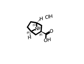 Cl.O=C(O)[C@H]1C[C@H]2CC[C@@H](C1)N2